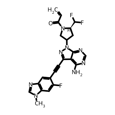 C=CC(=O)N1CC(n2nc(C#Cc3cc4ncn(C)c4cc3F)c3c(N)ncnc32)C[C@@H]1C(F)F